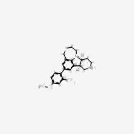 CC(C)Oc1ccc(-c2cc3c4c(c2)[C@@H]2CNCC[C@@H]2N4CCSC3)c(C(F)(F)F)c1